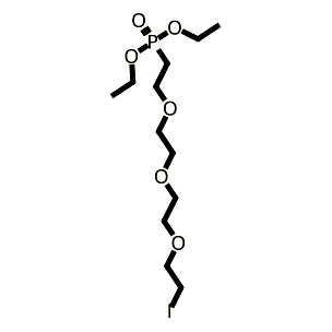 CCOP(=O)(CCOCCOCCOCCI)OCC